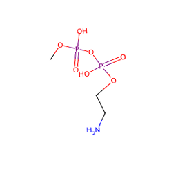 COP(=O)(O)OP(=O)(O)OCCN